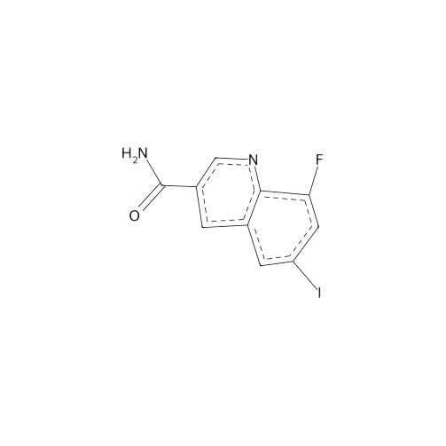 NC(=O)c1cnc2c(F)cc(I)cc2c1